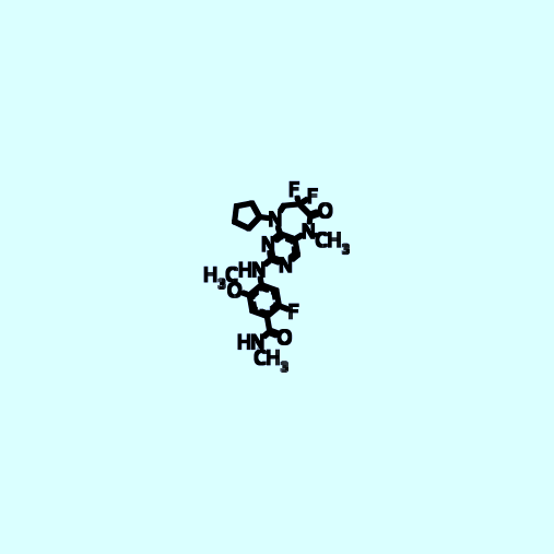 CNC(=O)c1cc(OC)c(Nc2ncc3c(n2)N(C2CCCC2)CC(F)(F)C(=O)N3C)cc1F